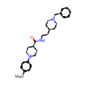 COc1ccc(N2CCC(C(=O)NCCC3CCN(Cc4ccccc4)CC3)CC2)cc1